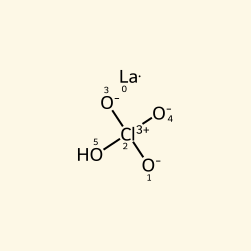 [La].[O-][Cl+3]([O-])([O-])O